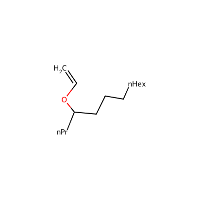 C=COC(CCC)CCCCCCCCC